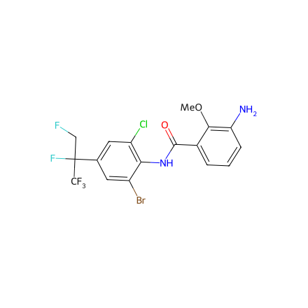 COc1c(N)cccc1C(=O)Nc1c(Cl)cc(C(F)(CF)C(F)(F)F)cc1Br